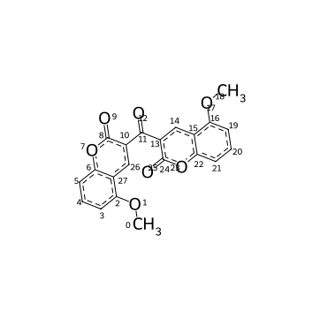 COc1cccc2oc(=O)c(C(=O)c3cc4c(OC)cccc4oc3=O)cc12